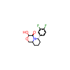 O=C1C(O)OCC2CCC[C@@H](c3ccc(F)c(F)c3)N12